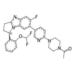 CC(=O)N1CCN(c2ccc(-c3cc4c(cc3F)nc3n4[C@@H](c4ccccc4OC(F)F)CC3)cn2)CC1